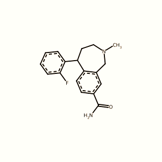 CN1CCC(c2ccccc2F)c2ccc(C(N)=O)cc2C1